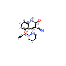 C#CC(=O)C1CCCCN1c1c(C#N)c(=O)n(C)c2ccccc12